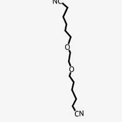 N#CCCCCCOCCOCCCCCC#N